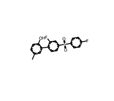 Cc1ccc(O)c(-c2ccc(S(=O)(=O)c3ccc(F)cc3)cc2F)c1